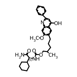 COc1cc2nc(-c3ccccc3)cc(O)c2cc1CCCC(C)COC(=O)N[C@H](C(N)=O)C1CCCCC1